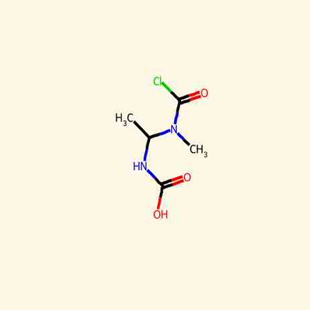 CC(NC(=O)O)N(C)C(=O)Cl